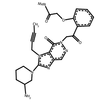 CC#CCn1c(N2CCCC(N)C2)nc2cnn(CC(=O)c3ccccc3OCC(=O)NC)c(=O)c21